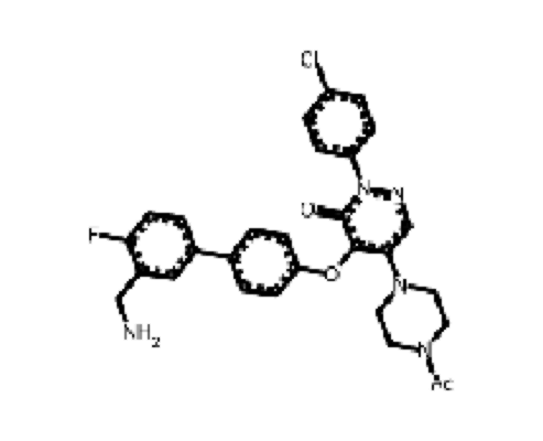 CC(=O)N1CCN(c2cnn(-c3ccc(Cl)cc3)c(=O)c2Oc2ccc(-c3ccc(F)c(CN)c3)cc2)CC1